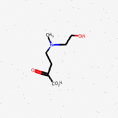 CN(CCO)CCC(=O)C(=O)O